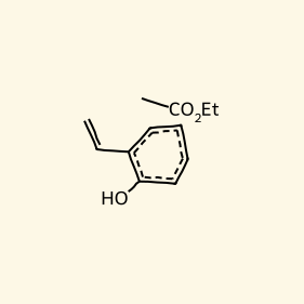 C=Cc1ccccc1O.CCOC(C)=O